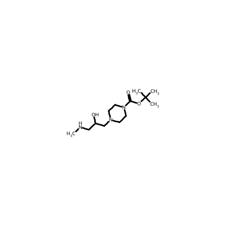 CNCC(O)CN1CCN(C(=O)OC(C)(C)C)CC1